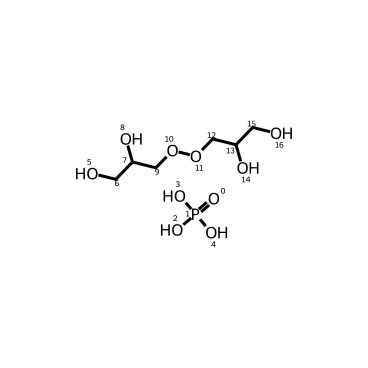 O=P(O)(O)O.OCC(O)COOCC(O)CO